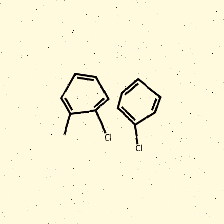 Cc1ccccc1Cl.Clc1ccccc1